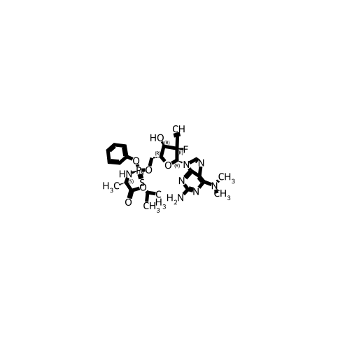 C#C[C@@]1(F)[C@H](O)[C@@H](CO[P@@](=S)(N[C@@H](C)C(=O)OC(C)C)Oc2ccccc2)O[C@H]1n1cnc2c(N(C)C)nc(N)nc21